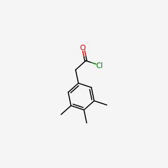 Cc1cc(CC(=O)Cl)cc(C)c1C